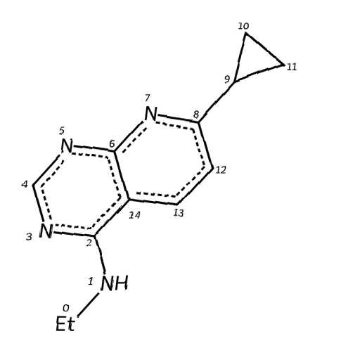 CCNc1ncnc2nc(C3CC3)ccc12